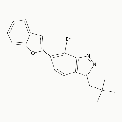 CC(C)(C)Cn1nnc2c(Br)c(-c3cc4ccccc4o3)ccc21